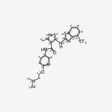 CC(=O)N(C)CCOc1ccc(NC(=O)c2c(C)nsc2Nc2nc3c(C(F)(F)F)cccc3s2)cn1